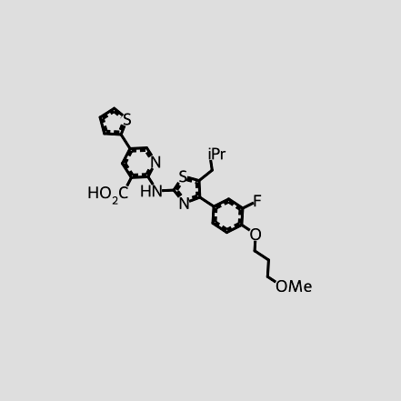 COCCCOc1ccc(-c2nc(Nc3ncc(-c4cccs4)cc3C(=O)O)sc2CC(C)C)cc1F